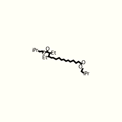 CCC(CCCCCCCCCCCCC(=O)OCCC(C)C)C(CC)C(=O)OCCC(C)C